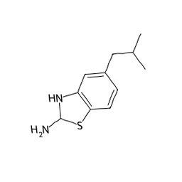 CC(C)Cc1ccc2c(c1)NC(N)S2